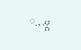 COc1cnc(Br)cc1-c1cc(C)ncc1C(=O)Nc1nnc(O[C@H]2CCC[C@H](O)C2)s1